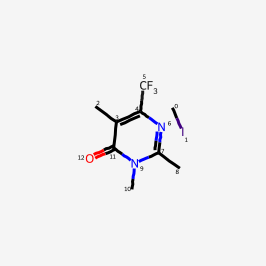 CI.Cc1c(C(F)(F)F)nc(C)n(C)c1=O